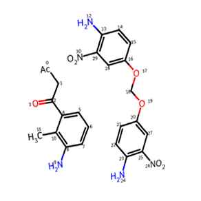 CC(=O)CC(=O)c1cccc(N)c1C.Nc1ccc(OCOc2ccc(N)c([N+](=O)[O-])c2)cc1[N+](=O)[O-]